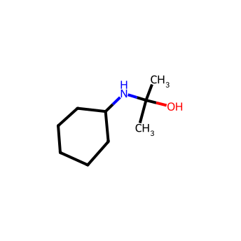 CC(C)(O)NC1CCCCC1